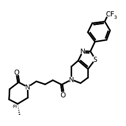 C[C@@H]1CCC(=O)N(CCCC(=O)N2CCc3sc(-c4ccc(C(F)(F)F)cc4)nc3C2)C1